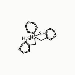 [SiH3][SH]([SiH3])(Cc1ccccc1)(Cc1ccccc1)c1ccccc1